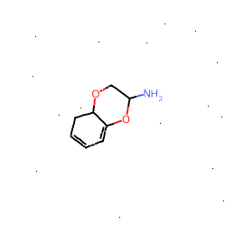 NC1COC2CC=CC=C2O1